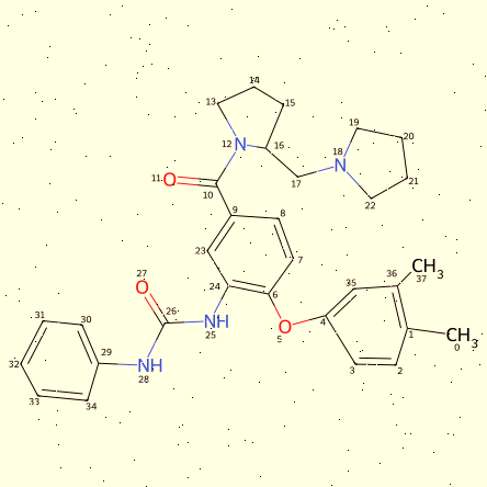 Cc1ccc(Oc2ccc(C(=O)N3CCCC3CN3CCCC3)cc2NC(=O)Nc2ccccc2)cc1C